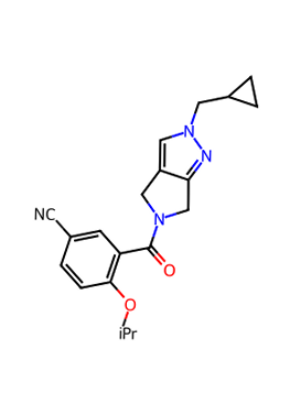 CC(C)Oc1ccc(C#N)cc1C(=O)N1Cc2cn(CC3CC3)nc2C1